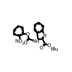 CC(C)(C)OC(=O)C1=Nc2ccccc2C1NC(=O)Oc1ccccc1[N+](=O)[O-]